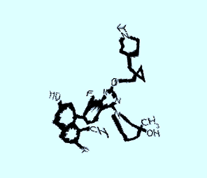 C#Cc1c(F)ccc2cc(O)cc(-c3ccc4c(N5CCC[C@@](C)(O)C5)nc(OCC5(CC6CCNCC6)CC5)nc4c3F)c12